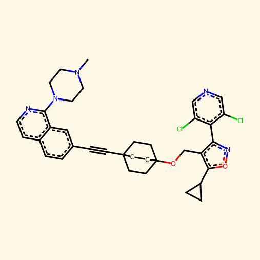 CN1CCN(c2nccc3ccc(C#CC45CCC(OCc6c(-c7c(Cl)cncc7Cl)noc6C6CC6)(CC4)CC5)cc23)CC1